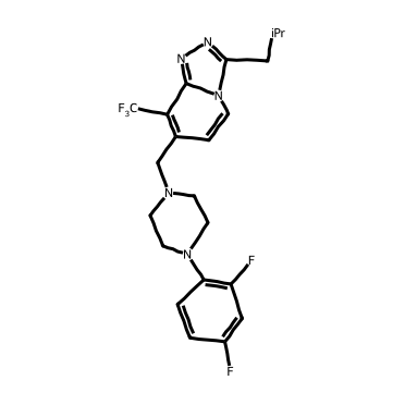 CC(C)Cc1nnc2c(C(F)(F)F)c(CN3CCN(c4ccc(F)cc4F)CC3)ccn12